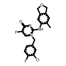 Cc1cc2c(cc1Nc1nc(=O)c(F)cn1Cc1ccc(F)c(Cl)c1)COC2